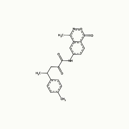 Cc1ccc(C(C)CC(=O)C(=O)Nc2ccc3c(=O)onc(C)c3c2)cc1